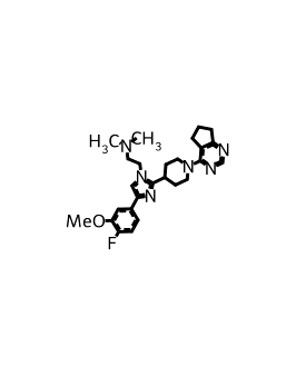 COc1cc(-c2cn(CCN(C)C)c(C3CCN(c4ncnc5c4CCC5)CC3)n2)ccc1F